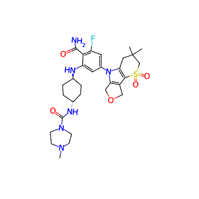 CN1CCN(C(=O)N[C@H]2CC[C@H](Nc3cc(-n4c5c(c6c4CC(C)(C)CS6(=O)=O)COC5)cc(F)c3C(N)=O)CC2)CC1